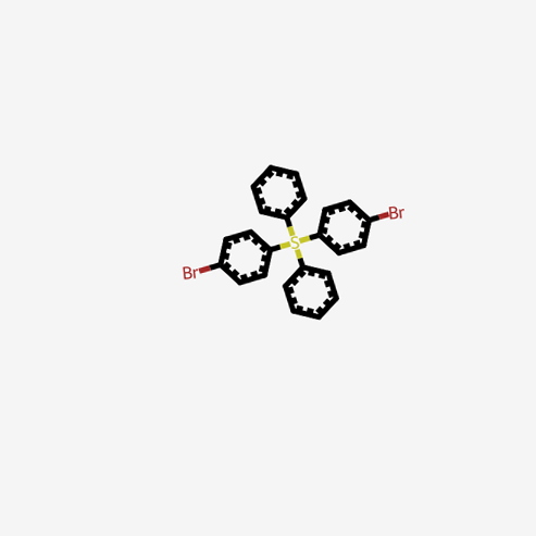 Brc1ccc(S(c2ccccc2)(c2ccccc2)c2ccc(Br)cc2)cc1